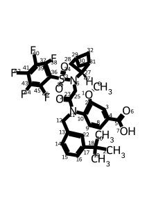 COc1cc(C(=O)O)ccc1N(Cc1cccc(C(C)(C)C)c1)C(=O)CN([C@@H]1CC2CC1C2)S(=O)(=O)c1c(F)c(F)c(F)c(F)c1F